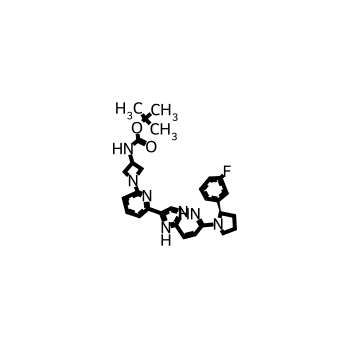 CC(C)(C)OC(=O)NC1CN(c2cccc(-c3cnc(/C=C\C(=N)N4CCC[C@@H]4c4cccc(F)c4)[nH]3)n2)C1